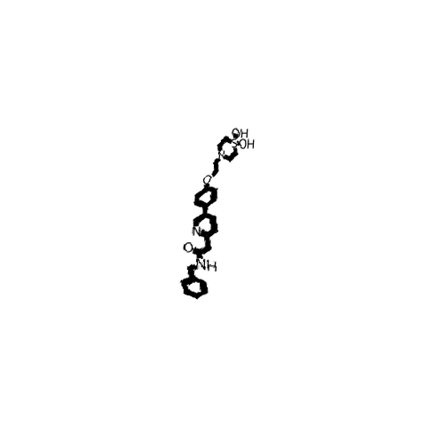 O=C(Cc1ccc(-c2ccc(OCCN3CCS(O)(O)CC3)cc2)cn1)NCc1ccccc1